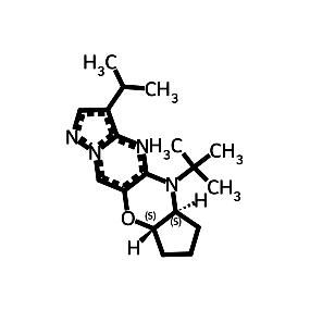 CC(C)c1cnn2cc3c(nc12)N(C(C)(C)C)[C@H]1CCC[C@@H]1O3